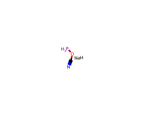 N#COP.[NaH]